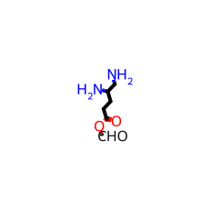 NCC(N)CCC(=O)OC=O